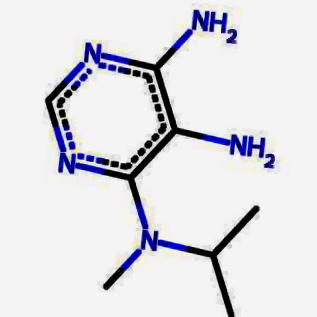 CC(C)N(C)c1ncnc(N)c1N